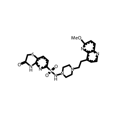 COc1ccc2nccc(CCN3CCN(NS(=O)(=O)c4ccc5c(n4)NC(=O)CS5)CC3)c2n1